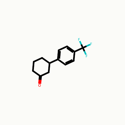 O=C1CCCC(c2ccc(C(F)(F)F)cc2)C1